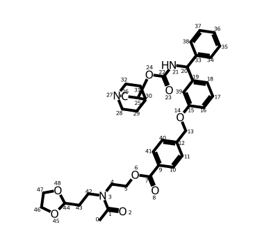 CC(=O)N(CCOC(=O)c1ccc(COc2cccc(C(NC(=O)OC3CN4CCC3CC4)c3ccccc3)c2)cc1)CCC1OCCO1